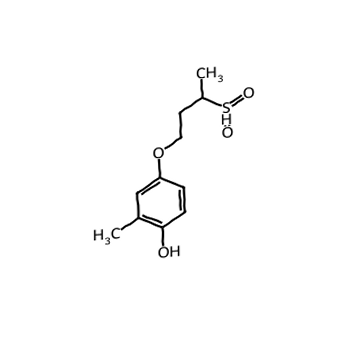 Cc1cc(OCCC(C)[SH](=O)=O)ccc1O